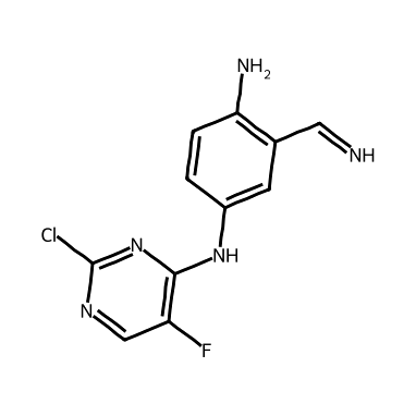 N=Cc1cc(Nc2nc(Cl)ncc2F)ccc1N